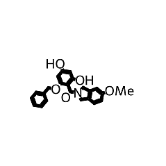 COc1ccc2c(c1)CN(C(=O)c1c(O)cc(O)cc1OCc1ccccc1)C2